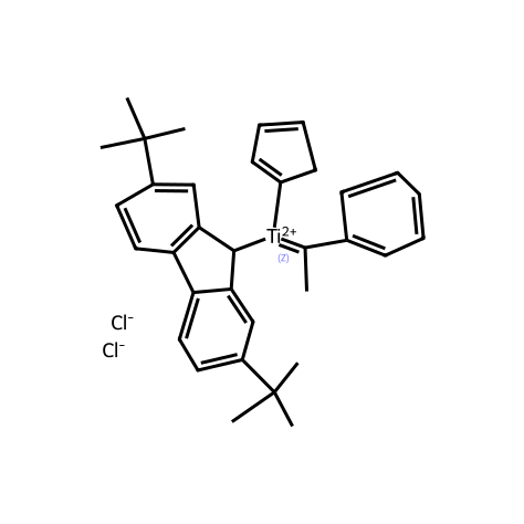 C/[C](c1ccccc1)=[Ti+2](/[C]1=CC=CC1)[CH]1c2cc(C(C)(C)C)ccc2-c2ccc(C(C)(C)C)cc21.[Cl-].[Cl-]